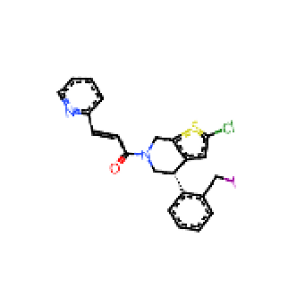 O=C(/C=C/c1ccccn1)N1Cc2sc(Cl)cc2[C@H](c2ccccc2CI)C1